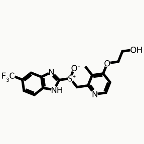 Cc1c(OCCO)ccnc1C[S+]([O-])c1nc2cc(C(F)(F)F)ccc2[nH]1